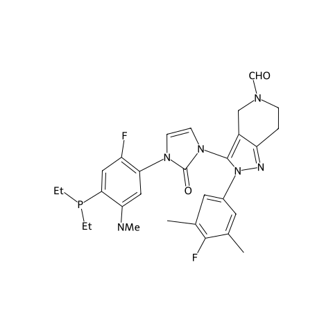 CCP(CC)c1cc(F)c(-n2ccn(-c3c4c(nn3-c3cc(C)c(F)c(C)c3)CCN(C=O)C4)c2=O)cc1NC